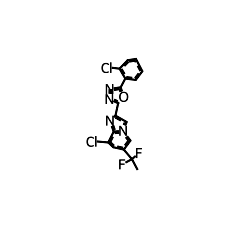 CC(F)(F)c1cc(Cl)c2nc(-c3nnc(-c4ccccc4Cl)o3)cn2c1